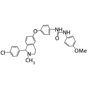 COc1ccc(NC(=O)Nc2ccc(Oc3ccc4c(c3)CCN(C)C4c3ccc(Cl)cc3)cc2)cc1